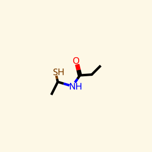 CCC(=O)NC(C)S